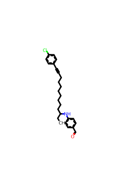 CCC(CCCCCCCCC#Cc1ccc(Cl)cc1)Nc1ccc(C=O)cc1